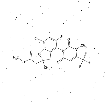 COC(=O)CC1(C)Cc2c(c(Cl)cc(F)c2-n2c(=O)cc(C(F)(F)F)n(C)c2=O)O1